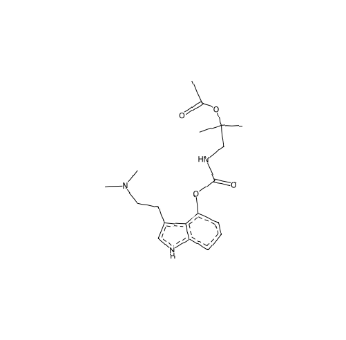 CC(=O)OC(C)(C)CNC(=O)Oc1cccc2[nH]cc(CCN(C)C)c12